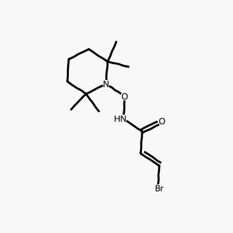 CC1(C)CCCC(C)(C)N1ONC(=O)C=CBr